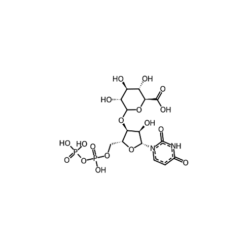 O=C(O)[C@H]1OC(O[C@H]2[C@@H](O)[C@H](n3ccc(=O)[nH]c3=O)O[C@@H]2COP(=O)(O)OP(=O)(O)O)[C@H](O)[C@@H](O)[C@@H]1O